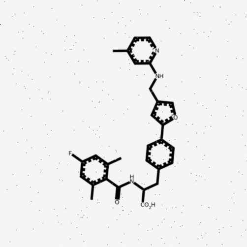 Cc1ccnc(NCc2coc(-c3ccc(CC(NC(=O)c4c(C)cc(F)cc4C)C(=O)O)cc3)c2)c1